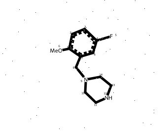 COc1ccc(F)cc1CN1CCNCC1